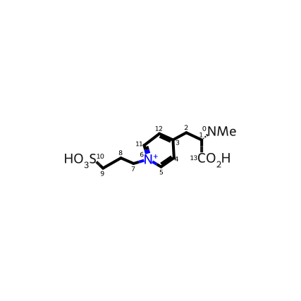 CN[C@@H](Cc1cc[n+](CCCS(=O)(=O)O)cc1)C(=O)O